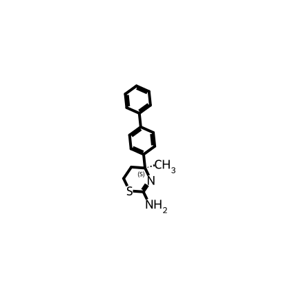 C[C@@]1(c2ccc(-c3ccccc3)cc2)CCSC(N)=N1